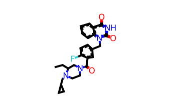 CCC1CN(C(=O)c2cc(Cn3c(=O)[nH]c(=O)c4ccccc43)ccc2F)CCN1CC1CC1